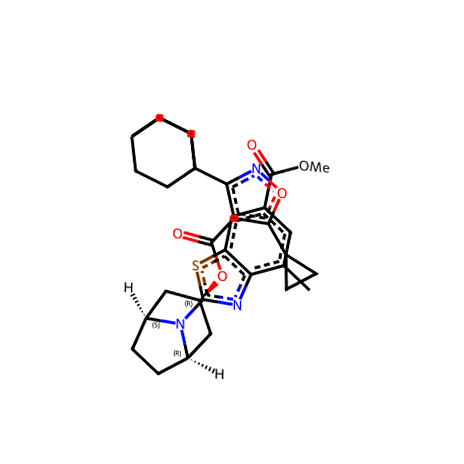 COC(=O)c1cc(C)c2nc(N3[C@@H]4CC[C@H]3C[C@@H](OC(=O)c3c(C56CCC(CC5)CC6)noc3C3CC3)C4)sc2c1